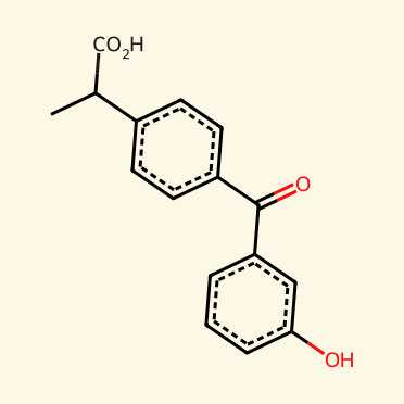 CC(C(=O)O)c1ccc(C(=O)c2cccc(O)c2)cc1